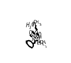 CN(C)CCCOC(=O)NC(=NC(CC1CCCCCCC1)C(=O)N(C)C#N)N1CCOCC1